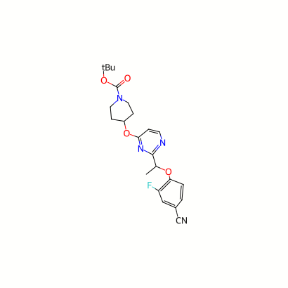 CC(Oc1ccc(C#N)cc1F)c1nccc(OC2CCN(C(=O)OC(C)(C)C)CC2)n1